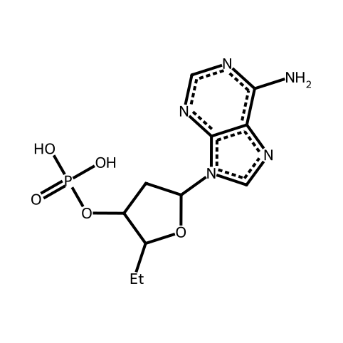 CCC1OC(n2cnc3c(N)ncnc32)CC1OP(=O)(O)O